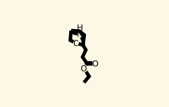 CCOC(=O)CCC12CCC(CC1)CNC2